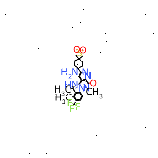 Cc1c([C@@H](C)Nc2nn(C)c(=O)c3nnc(C4(N)CCC5(CC4)CS(=O)(=O)C5)cc23)cccc1C(F)(F)F